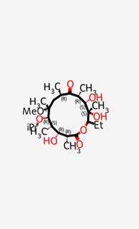 CCC1OC(=O)[C@H](C)[C@H](O)[C@H](C)[C@@H](OC(C)C)[C@@](C)(OC)C[C@@H](C)C(=O)[C@H](C)[C@H](O)[C@]1(C)O